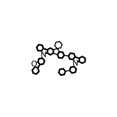 c1ccc(-c2cccc(-n3c4ccccc4c4ccc(-c5ccc6c(c5)C5(CCCCC5)c5cc7c8ccccc8n(-c8ccc9c(c8)oc8ccccc89)c7cc5-6)cc43)c2)cc1